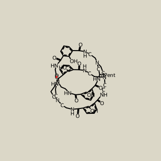 CCCCCC1CN2CCNC(=O)c3cccc(c3O)C(=O)NCCN(CCNC(=O)c3cccc(c3O)C(=O)N1)CCN1CCNC(=O)c3cccc(c3O)C(=O)NCCN(CCNC(=O)c3cccc(c3O)C(=O)NCC1)CC2